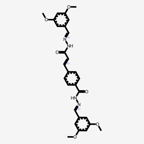 COc1cc(/C=N/NC(=O)/C=C/c2ccc(C(=O)N/N=C/c3cc(OC)cc(OC)c3)cc2)cc(OC)c1